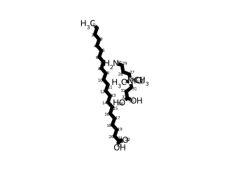 CCCCCCCCCCCCCCCCCCCCCC(=O)O.C[N+](C)(CCCN)CCC(O)O.[Cl-]